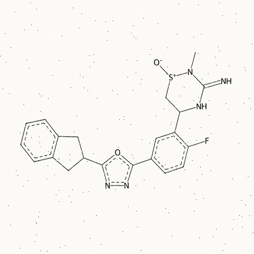 CN1C(=N)NC(c2cc(-c3nnc(C4Cc5ccccc5C4)o3)ccc2F)C[S+]1[O-]